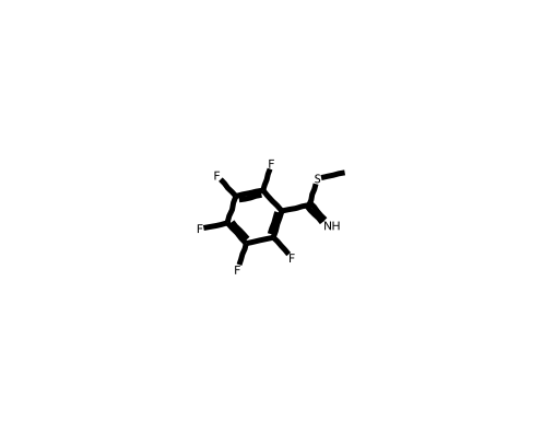 CSC(=N)c1c(F)c(F)c(F)c(F)c1F